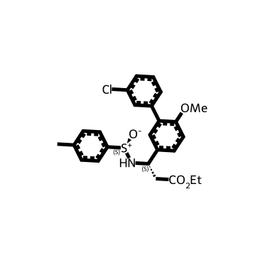 CCOC(=O)C[C@H](N[S@+]([O-])c1ccc(C)cc1)c1ccc(OC)c(-c2cccc(Cl)c2)c1